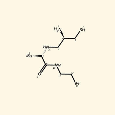 CC[C@H](C)[C@H](NC[C@@H](N)CS)C(=O)NCCC(C)C